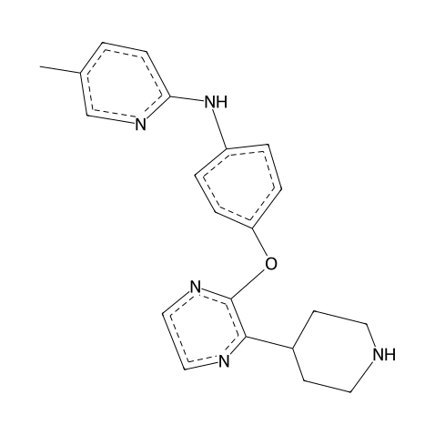 Cc1ccc(Nc2ccc(Oc3nccnc3C3CCNCC3)cc2)nc1